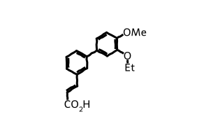 CCOc1cc(-c2cccc(C=CC(=O)O)c2)ccc1OC